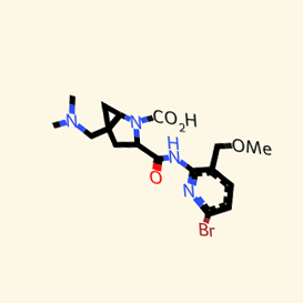 COCc1ccc(Br)nc1NC(=O)C1CC2(CN(C)C)CC2N1C(=O)O